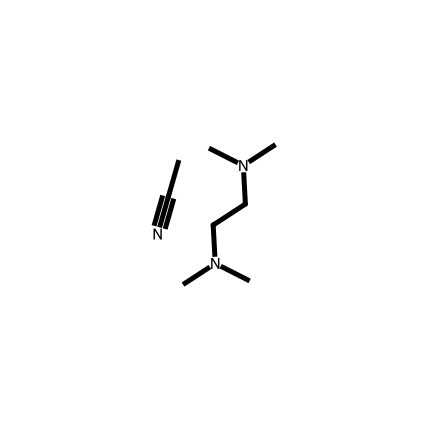 CC#N.CN(C)CCN(C)C